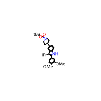 COc1ccc(-c2[nH]c3ccc(C4CCN(C(=O)OC(C)(C)C)CC4)cc3c2C(C)C)cc1OC